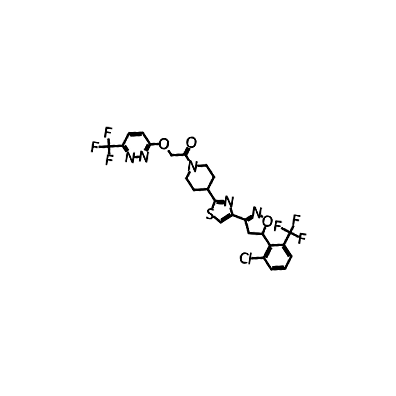 O=C(COc1ccc(C(F)(F)F)nn1)N1CCC(c2nc(C3=NOC(c4c(Cl)cccc4C(F)(F)F)C3)cs2)CC1